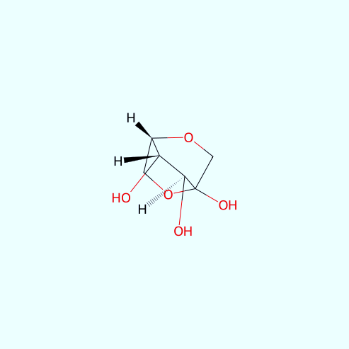 O[C@@H]1[C@@H]2COC(O)(CO2)[C@H]1O